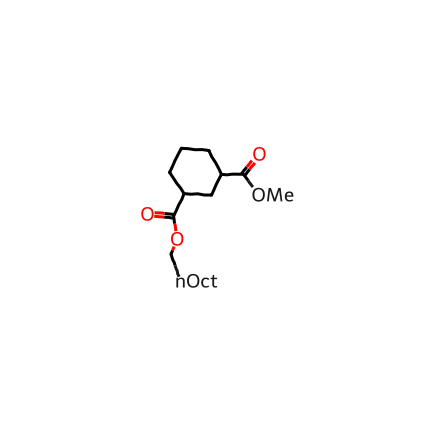 CCCCCCCCCOC(=O)C1CCCC(C(=O)OC)C1